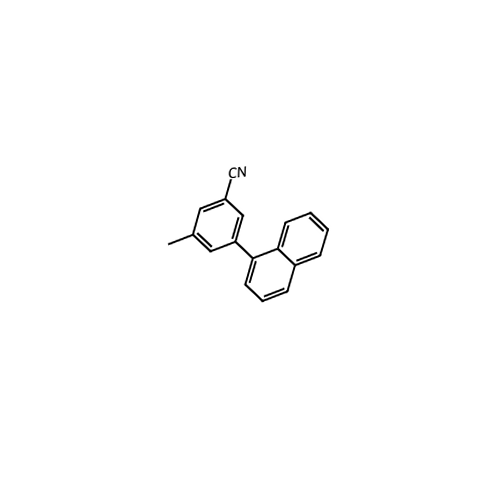 Cc1cc(C#N)cc(-c2cccc3ccccc23)c1